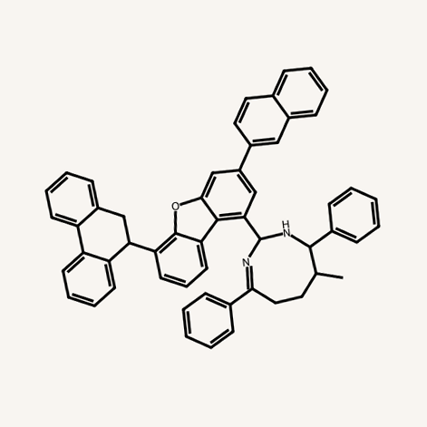 CC1CC/C(c2ccccc2)=N\C(c2cc(-c3ccc4ccccc4c3)cc3oc4c(C5Cc6ccccc6-c6ccccc65)cccc4c23)NC1c1ccccc1